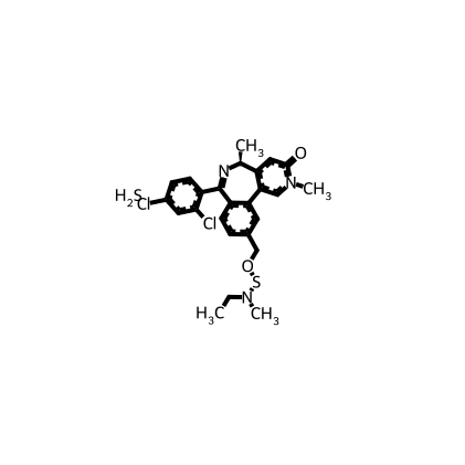 CCN(C)SOCc1ccc2c(c1)-c1cn(C)c(=O)cc1[C@H](C)N=C2c1ccc(Cl)cc1Cl.S